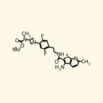 Cc1ccc2c(N)c(C(=O)NCCc3cc(F)c(N4CC(N(C)C(=O)OC(C)(C)C)C4)cc3F)sc2n1